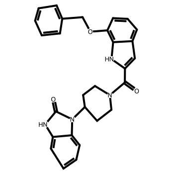 O=C(c1cc2cccc(OCc3ccccc3)c2[nH]1)N1CCC(n2c(=O)[nH]c3ccccc32)CC1